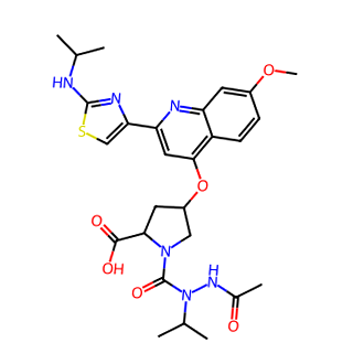 COc1ccc2c(OC3CC(C(=O)O)N(C(=O)N(NC(C)=O)C(C)C)C3)cc(-c3csc(NC(C)C)n3)nc2c1